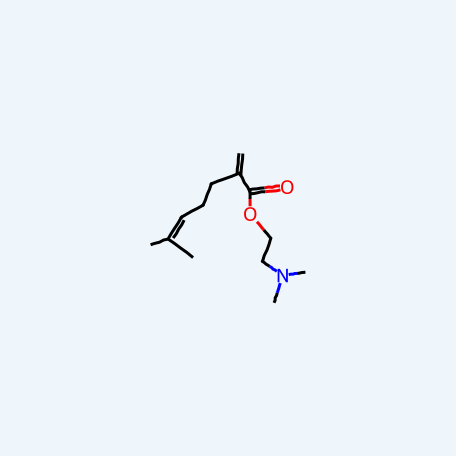 C=C(CCC=C(C)C)C(=O)OCCN(C)C